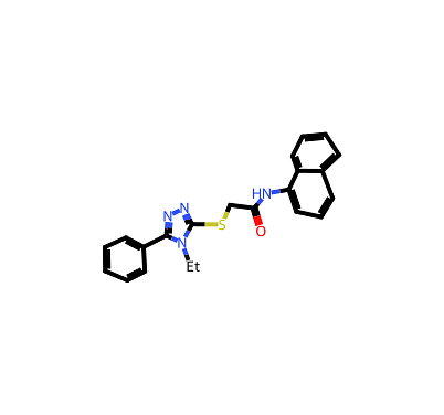 CCn1c(SCC(=O)Nc2cccc3ccccc23)nnc1-c1ccccc1